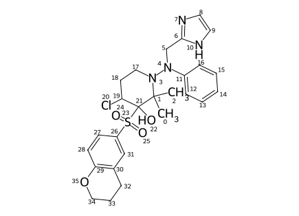 CC1(C)N(N(Cc2ncc[nH]2)c2ccccc2)CCC(Cl)C1(O)S(=O)(=O)c1ccc2c(c1)CCCO2